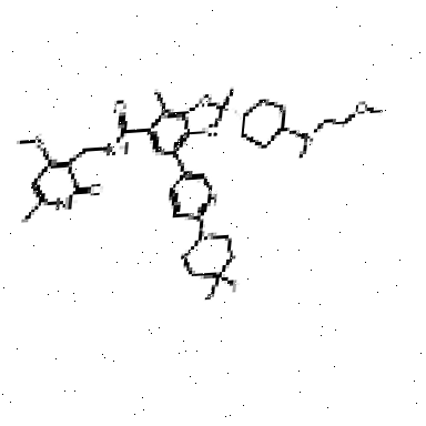 COCCN(C)[C@H]1CC[C@H](C2(C)Oc3c(-c4ccc(N5CCC(F)(F)CC5)nc4)cc(C(=O)NCc4c(SC)cc(C)[nH]c4=O)c(C)c3O2)CC1